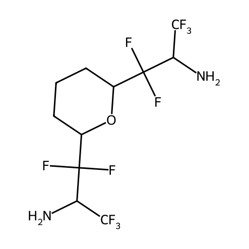 NC(C(F)(F)F)C(F)(F)C1CCCC(C(F)(F)C(N)C(F)(F)F)O1